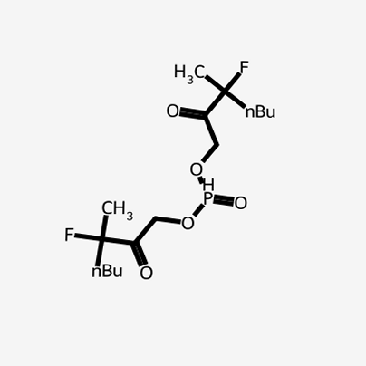 CCCCC(C)(F)C(=O)CO[PH](=O)OCC(=O)C(C)(F)CCCC